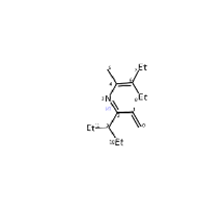 C=C/C(=N\C(C)=C(CC)CC)C(CC)CC